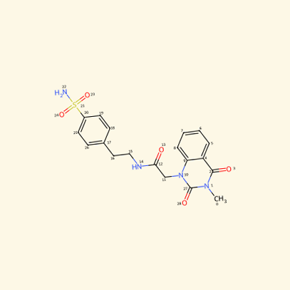 Cn1c(=O)c2ccccc2n(CC(=O)NCCc2ccc(S(N)(=O)=O)cc2)c1=O